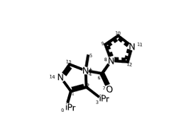 CC(C)C1=C(C(C)C)[N+](C)(C(=O)n2ccnc2)C=N1